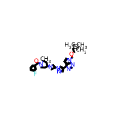 CC1CC(N2C[C](n3cc(-c4ncnc5c4ccn5COCC[Si](C)(C)C)cn3)C2)CCN1C(=O)c1cccc(F)c1